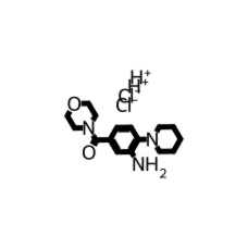 Nc1cc(C(=O)N2CCOCC2)ccc1N1CCCCC1.[Cl-].[Cl-].[H+].[H+]